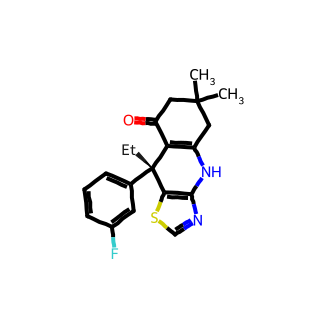 CC[C@@]1(c2cccc(F)c2)C2=C(CC(C)(C)CC2=O)Nc2ncsc21